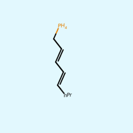 CCCC=CC=CC[PH4]